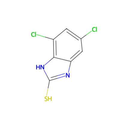 Sc1nc2cc(Cl)cc(Cl)c2[nH]1